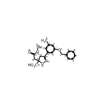 Cc1cc(OCc2ccccc2)cc(C2=NOC(CC(=O)OC(C)(C)C)(C(=O)O)C2)c1